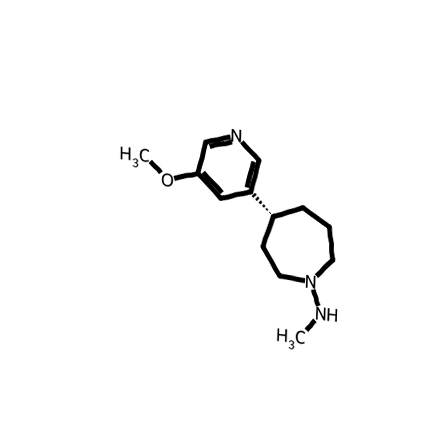 CNN1CCC[C@@H](c2cncc(OC)c2)CC1